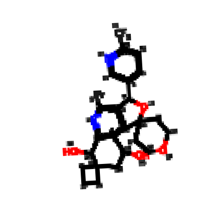 CC(C)c1nc2c(c3c1[C@@H](c1ccc(C(F)(F)F)nc1)OC31CCOCC1)C(O)CC1(CCC1)[C@H]2O